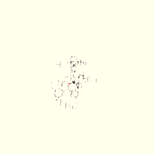 CC(C)(C)OC(=O)N1C[C@@H](N2CCCc3cc(Cl)cc(-c4ccnc5cc(CO)sc45)c32)C[C@@]1(C)CO[Si](C)(C)C(C)(C)C